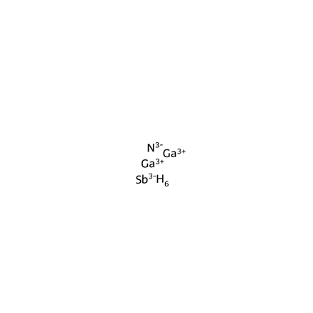 [Ga+3].[Ga+3].[N-3].[SbH6-3]